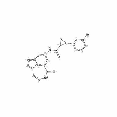 O=C1NN=Cc2c[nH]c3cc(NC(=O)C4CC4c4cccc(Br)c4)cc1c23